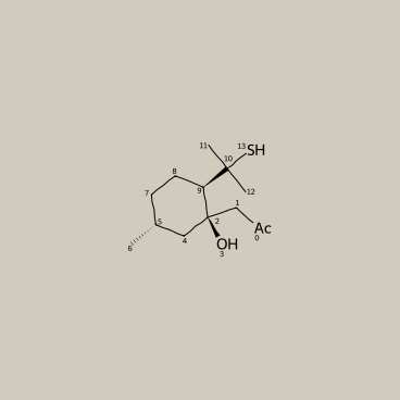 CC(=O)C[C@]1(O)C[C@H](C)CC[C@H]1C(C)(C)S